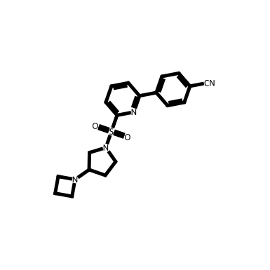 N#Cc1ccc(-c2cccc(S(=O)(=O)N3CCC(N4CCC4)C3)n2)cc1